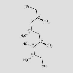 CC(C)C[C@@H](C)C[C@@H](C)C[C@@H](C)[C@@H](O)[C@@H](C)CO